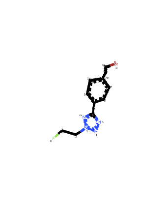 FCCn1nnc(-c2ccc(CBr)cc2)n1